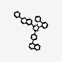 c1ccc(-c2ccc3cc(-c4nc(-c5ccc(-c6cccc7ccccc67)cc5)nc(-c5ccccc5-c5ccccc5)n4)ccc3c2)cc1